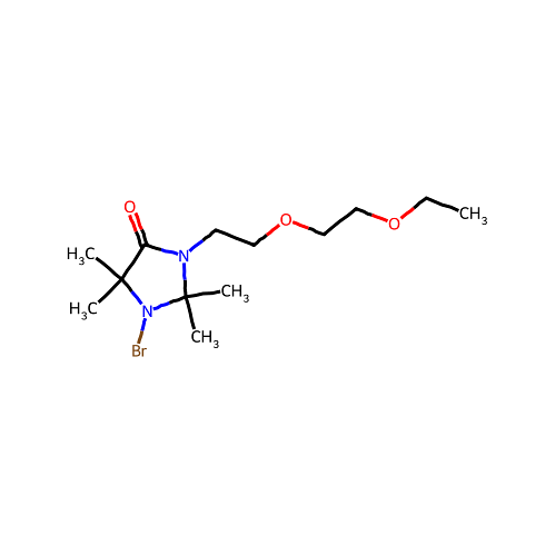 CCOCCOCCN1C(=O)C(C)(C)N(Br)C1(C)C